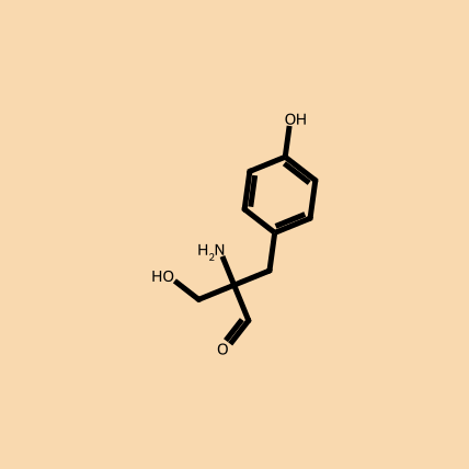 NC(C=O)(CO)Cc1ccc(O)cc1